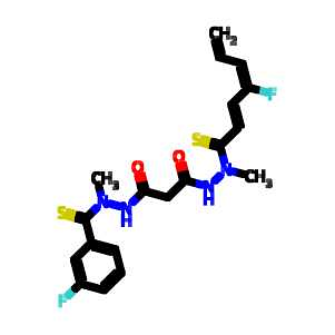 C=C/C=C(F)\C=C\C(=S)N(C)NC(=O)CC(=O)NN(C)C(=S)c1cccc(F)c1